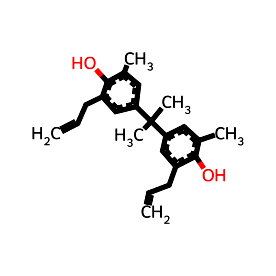 C=CCc1cc(C(C)(C)c2cc(C)c(O)c(CC=C)c2)cc(C)c1O